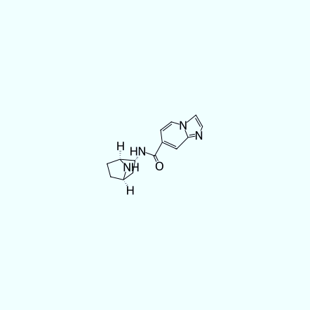 O=C(N[C@@H]1C[C@H]2CC[C@@H]1N2)c1ccn2ccnc2c1